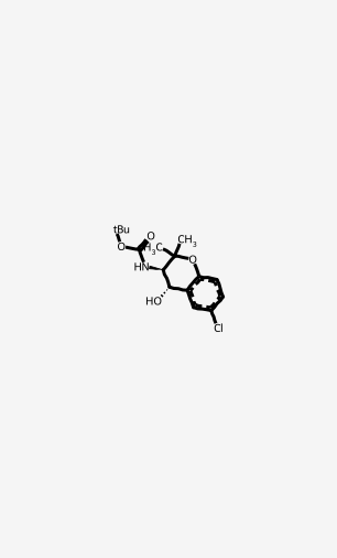 CC(C)(C)OC(=O)N[C@@H]1[C@@H](O)c2cc(Cl)ccc2OC1(C)C